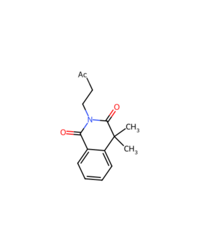 CC(=O)CCN1C(=O)c2ccccc2C(C)(C)C1=O